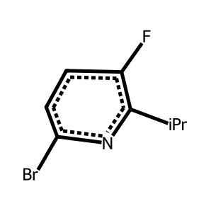 CC(C)c1nc(Br)ccc1F